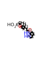 CC(C)(Oc1ccc(CCC(=O)Nc2cccc3cc[nH]c23)cc1)C(=O)O